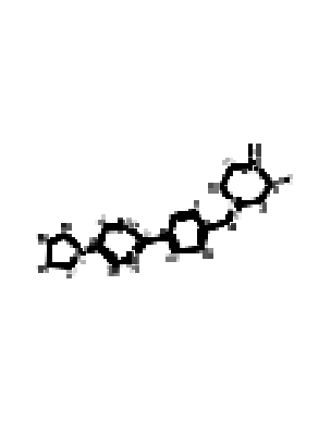 C[C@@H]1CN(Cc2ccc(-c3ncc(N4CCCC4)cn3)cc2)CCN1